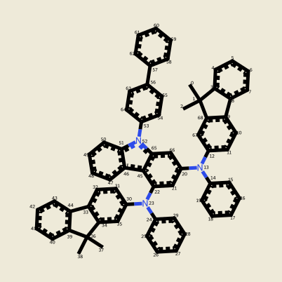 CC1(C)c2ccccc2-c2ccc(N(c3ccccc3)c3cc(N(c4ccccc4)c4ccc5c(c4)C(C)(C)c4ccccc4-5)c4c5ccccc5n(-c5ccc(-c6ccccc6)cc5)c4c3)cc21